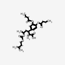 CCCC(=O)Oc1ccc(C(CC(C)OC(=O)OCCC(C)C)[C@H](N)C(=O)O)cc1OC(=O)CCC